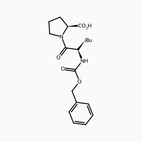 CC[C@H](C)[C@@H](NC(=O)OCc1ccccc1)C(=O)N1CCC[C@H]1C(=O)O